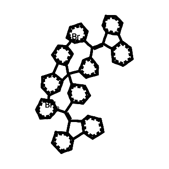 Bc1ccc2c(c1)C(c1cccc(C(=C3c4ccccc4-c4ccccc43)c3ccccc3)c1)(c1cccc(C(=C3c4ccccc4-c4ccccc43)c3ccccc3)c1)c1cc(Br)ccc1-2